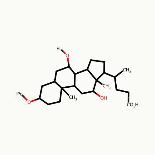 CCOC1CC2CC(OC(C)C)CCC2(C)C2CC(O)C3(C)C(C(C)CCC(=O)O)CCC3C12